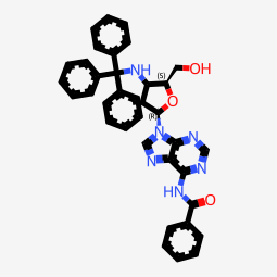 O=C(Nc1ncnc2c1ncn2[C@H]1CC(NC(c2ccccc2)(c2ccccc2)c2ccccc2)[C@@H](CO)O1)c1ccccc1